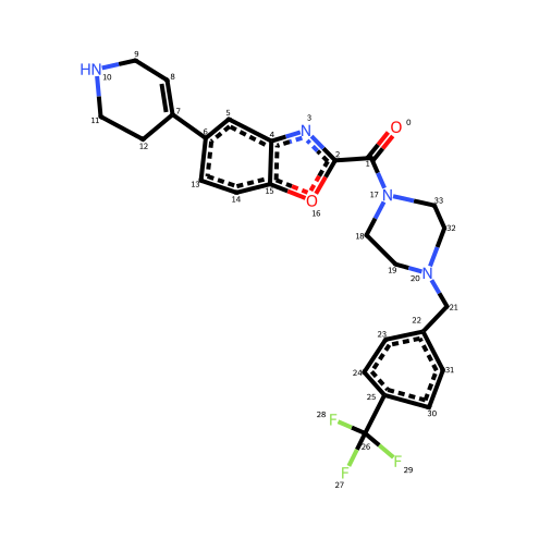 O=C(c1nc2cc(C3=CCNCC3)ccc2o1)N1CCN(Cc2ccc(C(F)(F)F)cc2)CC1